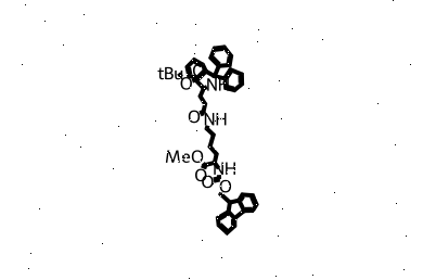 COC(=O)C(CCCCNC(=O)CCC(NC(c1ccccc1)(c1ccccc1)c1ccccc1)C(=O)OC(C)(C)C)NC(=O)OCC1c2ccccc2-c2ccccc21